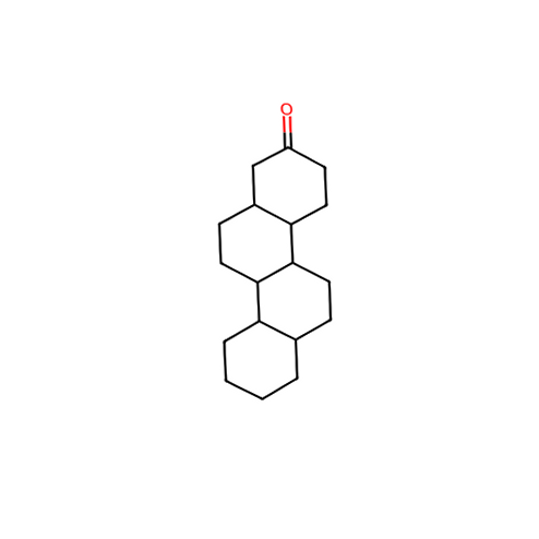 O=C1CCC2C(CCC3C4CCCCC4CCC23)C1